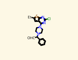 CCc1cc2c(N3CCN(C(C=O)c4ccccc4)CC3)nc(Cl)nc2s1